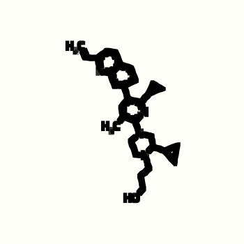 C=Cc1ccc2ccc(-c3cc(C)c(N4CCN(CCCO)C(C5CC5)C4)nc3C3CC3)cc2n1